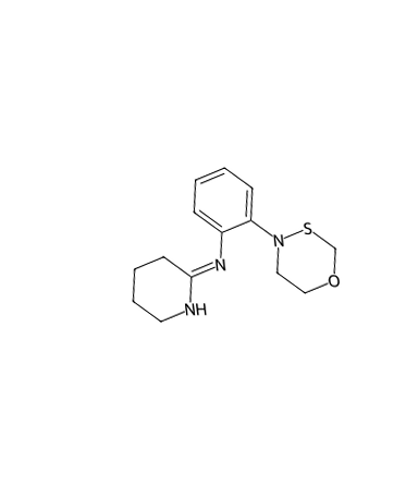 c1ccc(N2CCOCS2)c(N=C2CCCCN2)c1